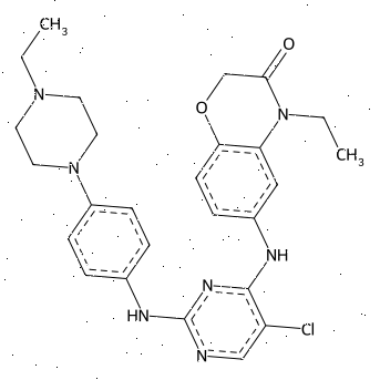 CCN1CCN(c2ccc(Nc3ncc(Cl)c(Nc4ccc5c(c4)N(CC)C(=O)CO5)n3)cc2)CC1